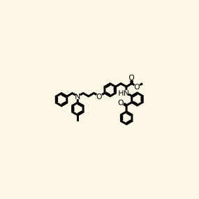 COC(=O)C(Cc1ccc(OCCCN(Cc2ccccc2)c2ccc(C)cc2)cc1)Nc1ccccc1C(=O)c1ccccc1